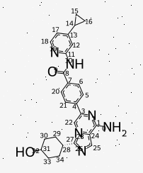 Nc1nc(-c2ccc(C(=O)Nc3cc(C4CC4)ccn3)cc2)cn2c1cnc2[C@H]1CC[C@H](O)CC1